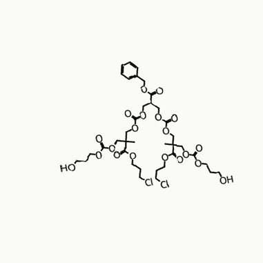 CC(COC(=O)OCCCO)(COC(=O)OCC(COC(=O)OCC(C)(COC(=O)OCCCO)C(=O)OCCCCl)C(=O)OCc1ccccc1)C(=O)OCCCCl